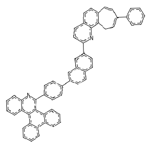 C1=Cc2ccc3ccc(-c4ccc5ccc(-c6ccc(-c7nc8ccccc8c8c9ccccc9c9ccccc9c78)cc6)cc5c4)nc3c2CC=C1c1ccccc1